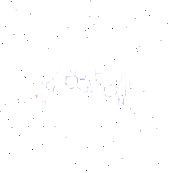 CC1=NC(S(=O)(=O)C2CC2)C(C)=C1c1cc2cnc(Nc3ccc(N4CCNCC4)c(C(F)(F)F)c3)nc2n(CC2CC2)c1=O